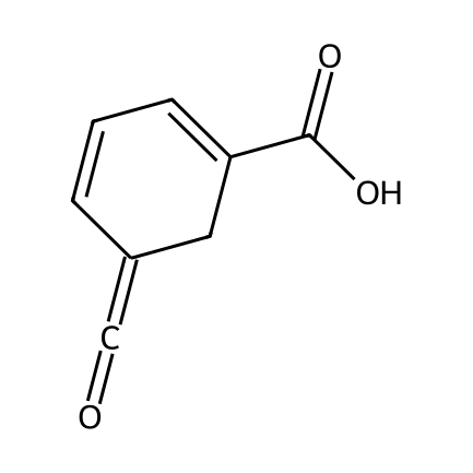 O=C=C1C=CC=C(C(=O)O)C1